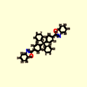 c1ccc(C(c2ccccc2)(c2ccc(-c3nc4ccccc4o3)cc2)c2ccc(-c3nc4ccccc4o3)cc2)cc1